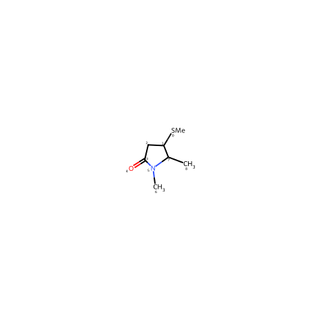 CSC1CC(=O)N(C)C1C